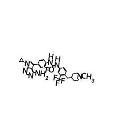 CN1CCC(Cc2ccc(NC(=O)Nc3ccc(-c4cn(C5CC5)c5ncnc(N)c45)cc3F)cc2C(F)(F)F)CC1